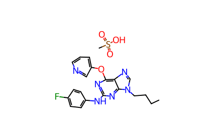 CCCCn1cnc2c(Oc3cccnc3)nc(Nc3ccc(F)cc3)nc21.CS(=O)(=O)O